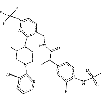 CC(C(=O)NCc1ccc(C(F)(F)F)nc1N1CCN(c2ncccc2Cl)CC1C)c1ccc(NS(C)(=O)=O)c(F)c1